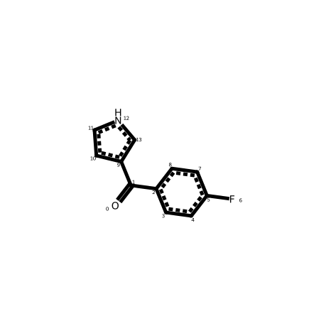 O=C(c1ccc(F)cc1)c1cc[nH]c1